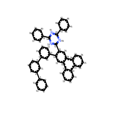 c1ccc(-c2cccc(-c3cccc(-c4cc5c6ccccc6c6ccccc6c5cc4-c4nc(-c5ccccc5)nc(-c5ccccc5)n4)c3)c2)cc1